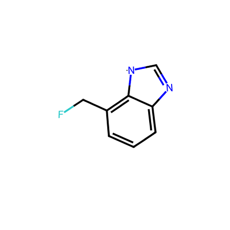 FCc1cccc2c1[N]C=N2